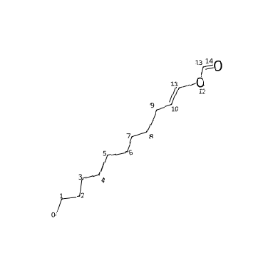 CCCCCCCCCCC=COC=O